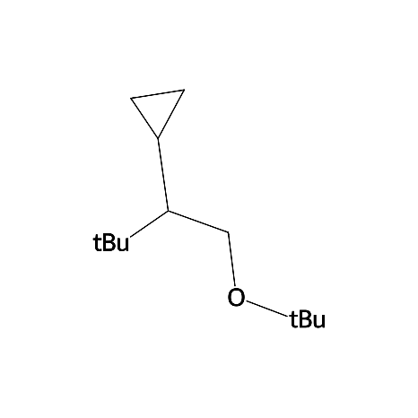 CC(C)(C)OCC(C1CC1)C(C)(C)C